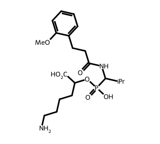 COc1ccccc1CCC(=O)NC(C(C)C)P(=O)(O)OC(CCCCN)C(=O)O